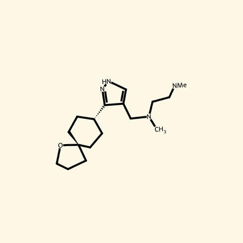 CNCCN(C)Cc1c[nH]nc1[C@H]1CC[C@]2(CCCO2)CC1